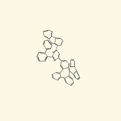 c1ccc(-c2ccccc2-c2nc(-c3ccc4c(c3)-c3ccccc3-c3ccccc3C43c4ccccc4-c4ccccc43)cc(-c3cccc4c3oc3ccccc34)n2)cc1